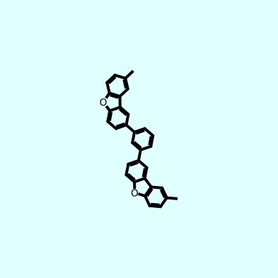 Cc1ccc2oc3ccc(-c4cccc(-c5ccc6oc7ccc(C)cc7c6c5)c4)cc3c2c1